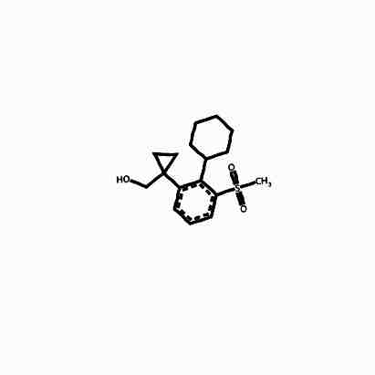 CS(=O)(=O)c1cccc(C2(CO)CC2)c1C1CCCCC1